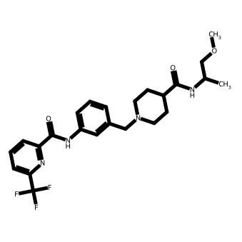 COCC(C)NC(=O)C1CCN(Cc2cccc(NC(=O)c3cccc(C(F)(F)F)n3)c2)CC1